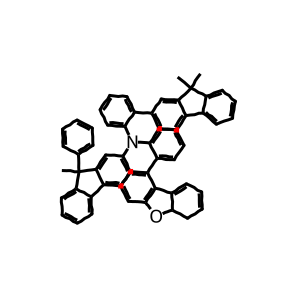 CC1(C)c2ccccc2-c2ccc(-c3ccccc3N(c3ccc4c(c3)C(C)(c3ccccc3)c3ccccc3-4)c3ccccc3-c3cccc4c3C3=CC=CCC3O4)cc21